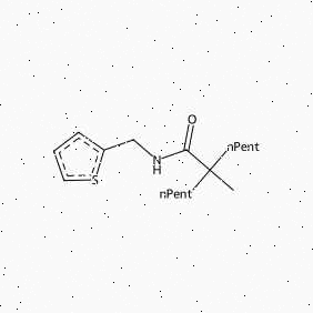 CCCCCC(C)(CCCCC)C(=O)NCc1cccs1